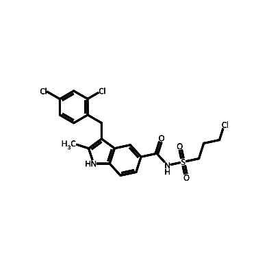 Cc1[nH]c2ccc(C(=O)NS(=O)(=O)CCCCl)cc2c1Cc1ccc(Cl)cc1Cl